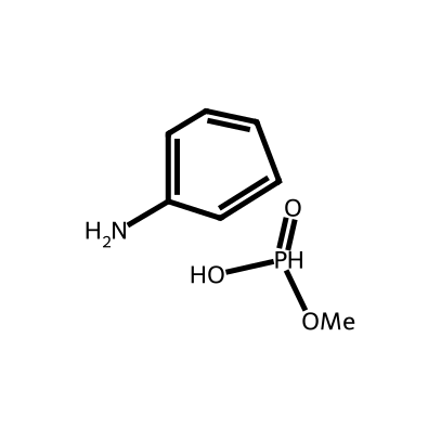 CO[PH](=O)O.Nc1ccccc1